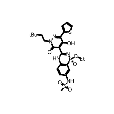 CCOP1(=O)N=C(c2c(O)c(-c3cccs3)nn(CCC(C)(C)C)c2=O)Nc2ccc(NS(C)(=O)=O)cc21